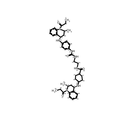 CCC(=O)N1c2ccccc2[C@H](Nc2ccc(NC(=O)NCCNC(=O)C3CCC(N[C@@H]4C[C@H](C)N(C(=O)CC)c5ccccc54)CC3)cc2)C[C@@H]1C